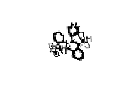 CS(=O)(=O)N[C@H]1CCCC[C@@H]1N1C(=O)c2ccccc2[C@@H](C(=O)O)[C@@H]1c1ccncc1Cl